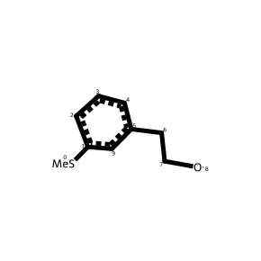 CSc1cccc(CC[O])c1